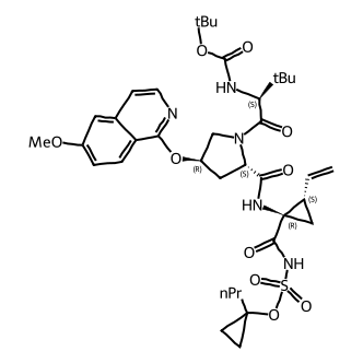 C=C[C@@H]1C[C@]1(NC(=O)[C@@H]1C[C@@H](Oc2nccc3cc(OC)ccc23)CN1C(=O)[C@@H](NC(=O)OC(C)(C)C)C(C)(C)C)C(=O)NS(=O)(=O)OC1(CCC)CC1